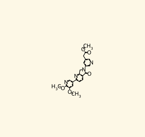 COC(=O)Cc1cncc(N2Cc3nc(-c4cnc(OC)c(OC)c4)ccc3C2=O)c1